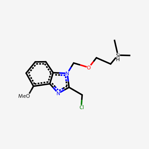 COc1cccc2c1nc(CCl)n2COCC[SiH](C)C